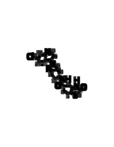 O=C1CSc2ccc(C(=O)NC3CCc4nn(-c5ccnc6cc(Cl)ccc56)cc4C3)cc2N1